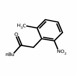 CCCCC(=O)Cc1c(C)cccc1[N+](=O)[O-]